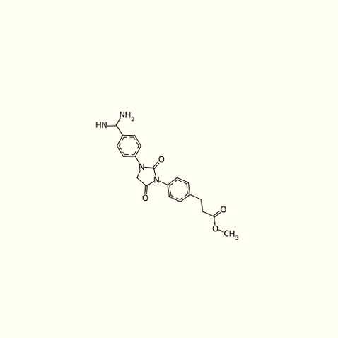 COC(=O)CCc1ccc(N2C(=O)CN(c3ccc(C(=N)N)cc3)C2=O)cc1